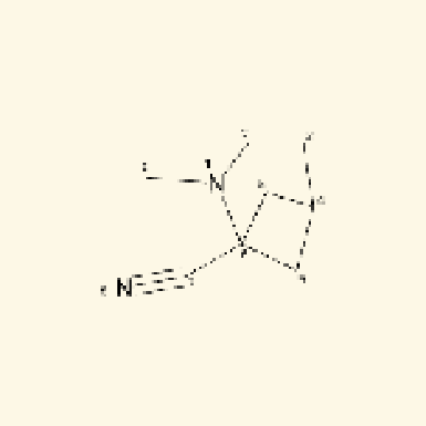 CN1CCC2CC1(C#N)C2